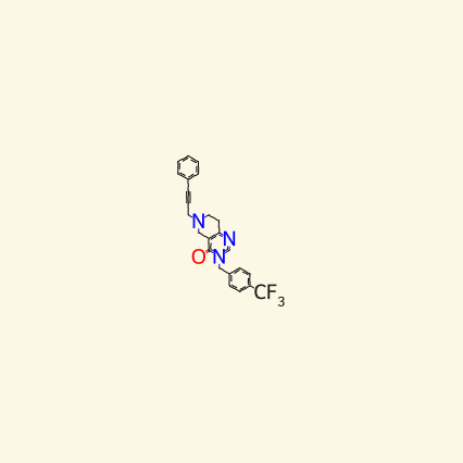 O=c1c2c(ncn1Cc1ccc(C(F)(F)F)cc1)CCN(CC#Cc1ccccc1)C2